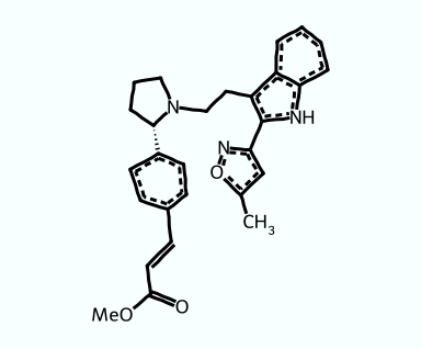 COC(=O)C=Cc1ccc([C@@H]2CCCN2CCc2c(-c3cc(C)on3)[nH]c3ccccc23)cc1